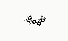 CN1CC(=O)N(c2ccc(-c3cccc(C4CCC(=O)NC4=O)c3Cl)cc2)c2cncnc21